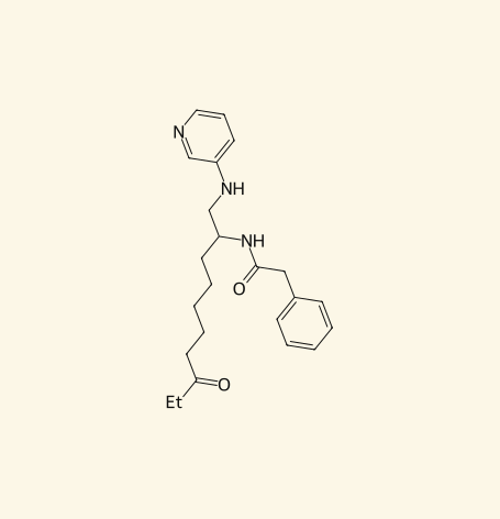 CCC(=O)CCCCCC(CNc1cccnc1)NC(=O)Cc1ccccc1